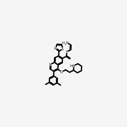 C=C(S/C=C\N)c1cc2c(OCCC3CCCCN3)c(-c3cc(C)cc(C)c3)cnc2cc1-c1nccs1